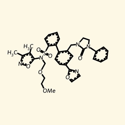 COCCOCN(c1onc(C)c1C)S(=O)(=O)c1ccccc1-c1ccc(-c2ncco2)cc1CN1CCN(c2ccccc2)C1=O